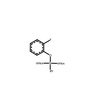 CCCCCC[Si](CCCCCC)(Oc1ccc[c]c1F)C(C)C